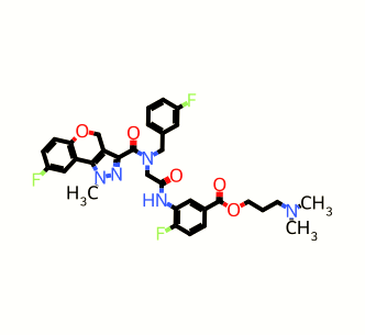 CN(C)CCCOC(=O)c1ccc(F)c(NC(=O)CN(Cc2cccc(F)c2)C(=O)c2nn(C)c3c2COc2ccc(F)cc2-3)c1